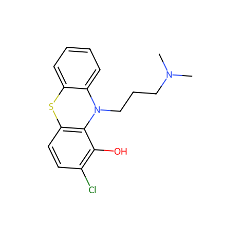 CN(C)CCCN1c2ccccc2Sc2ccc(Cl)c(O)c21